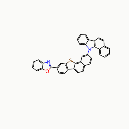 c1ccc2c(c1)ccc1c3ccccc3n(-c3ccc4ccc5c6ccc(-c7nc8ccccc8o7)cc6sc5c4c3)c21